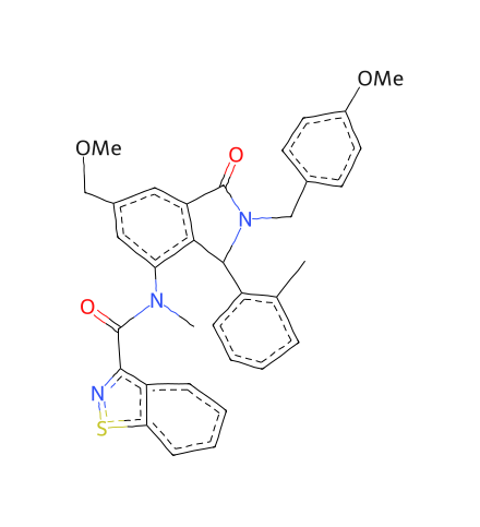 COCc1cc2c(c(N(C)C(=O)c3nsc4ccccc34)c1)C(c1ccccc1C)N(Cc1ccc(OC)cc1)C2=O